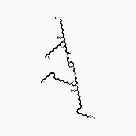 CCCCC/C=C\C/C=C\CCCCCCC(O)CN(CCCSSCCN1CCN(CCOC(=O)CCCCN(CC(O)CCCCCCCC)CC(O)CCCCCCCC)CC1)CC(O)CCCCCC/C=C\C/C=C\CCCCC